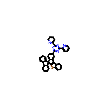 c1ccc(-c2nc(-c3ccc4c(c3)-c3c(sc5ccccc35)C43c4ccccc4-c4ccccc43)nc(-c3ccccn3)n2)nc1